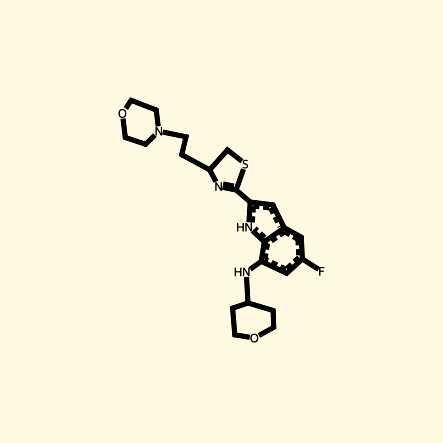 Fc1cc(NC2CCOCC2)c2[nH]c(C3=NC(CCN4CCOCC4)CS3)cc2c1